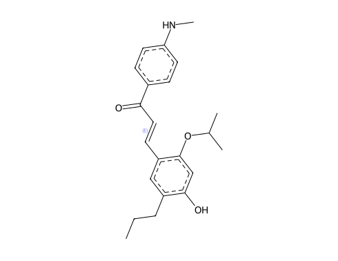 CCCc1cc(/C=C/C(=O)c2ccc(NC)cc2)c(OC(C)C)cc1O